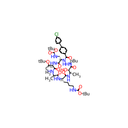 CCCCNC(=O)C(O)[C@H](C)NC(=O)[C@H](CCCCNC(=O)OC(C)(C)C)NC(=O)[C@H](C)NC(=O)[C@@H](NC(=O)[C@H](CNC(=O)OC(C)(C)C)NC(=O)c1ccc(-c2ccc(Cl)cc2)cc1)[C@@H](C)OC(C)(C)C